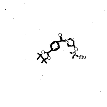 CC1(C)OC(c2ccc(C(=O)N3CCC(O[Si](C)(C)C(C)(C)C)C3)cc2)OC1(C)C